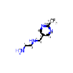 NCCNCc1cnc(C(F)(F)F)nc1